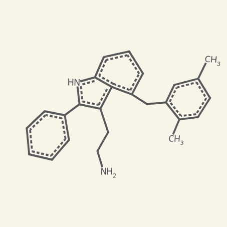 Cc1ccc(C)c(Cc2cccc3[nH]c(-c4ccccc4)c(CCN)c23)c1